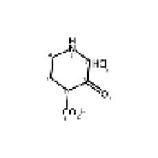 Cl.O=C(O)C1CCNCC1=O